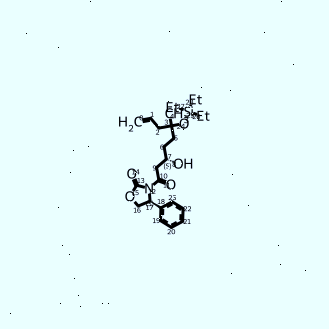 C=CCC(C)(CC[C@H](O)CC(=O)N1C(=O)OC[C@@H]1c1ccccc1)O[Si](CC)(CC)CC